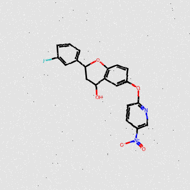 O=[N+]([O-])c1ccc(Oc2ccc3c(c2)C(O)CC(c2cccc(F)c2)O3)nc1